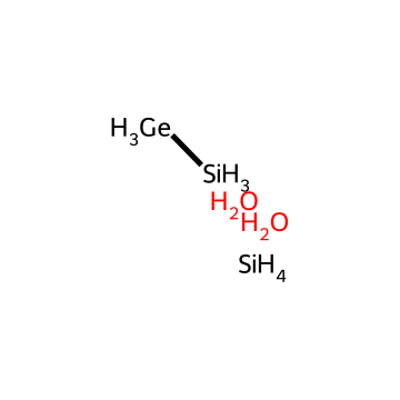 O.O.[SiH3][GeH3].[SiH4]